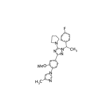 COc1cc(-c2nc(N3CCCC3)n(C(C)c3ccc(F)cc3)n2)ccc1-n1cnc(C)c1